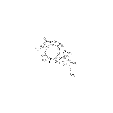 CCCCN(C)[C@H]1C[C@@H](C)O[C@@H](O[C@@H]2[C@@H](C)C(=O)[C@@H](C)C(=O)O[C@H](CC)[C@@]3(C)OC(=O)NC3[C@@H](C)C(=O)[C@H](C)C[C@@]2(C)OC)[C@@H]1O